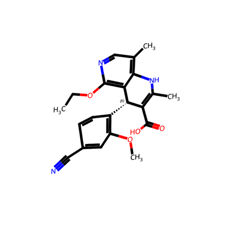 CCOc1ncc(C)c2c1[C@@H](c1ccc(C#N)cc1OC)C(C(=O)O)=C(C)N2